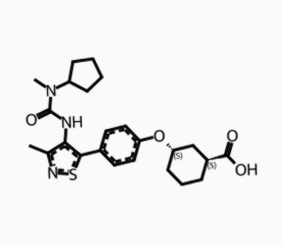 Cc1nsc(-c2ccc(O[C@H]3CCC[C@H](C(=O)O)C3)cc2)c1NC(=O)N(C)C1CCCC1